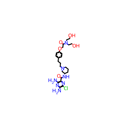 Nc1nc(N)c(C(=O)N[C@H]2CCCN(CCCc3ccc(OCC(=O)N(CCO)CCO)cc3)C2)nc1Cl